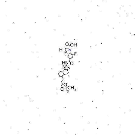 CCOC(CC)CCc1cccc2c1CCc1sc(NC(=O)c3cc(F)c(/C=C(\C)C(=O)O)c(F)c3)nc1-2